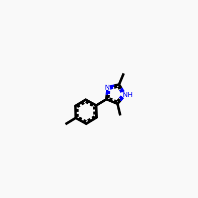 Cc1ccc(-c2nc(C)[nH]c2C)cc1